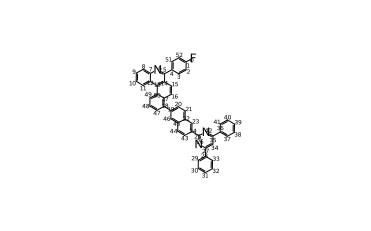 Fc1ccc(-c2nc3ccccc3c3c2ccc2c(-c4ccc5cc(-c6nc(-c7ccccc7)cc(-c7ccccc7)n6)ccc5c4)cccc23)cc1